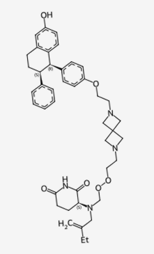 C=C(CC)CN(COOCCN1CC2(C1)CN(CCOc1ccc([C@@H]3c4ccc(O)cc4CC[C@@H]3c3ccccc3)cc1)C2)[C@H]1CCC(=O)NC1=O